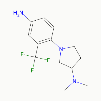 CN(C)C1CCN(c2ccc(N)cc2C(F)(F)F)C1